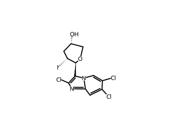 O[C@@H]1CO[C@@H](c2c(Cl)nc3cc(Cl)c(Cl)cn23)[C@H](I)C1